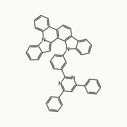 c1ccc(-c2cc(-c3ccccc3)nc(-c3cccc(-n4c5ccccc5c5ccc6c7ccccc7n7c8ccccc8cc7c6c54)c3)n2)cc1